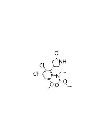 CCOC(=O)N(CC)c1c(OC)cc(Cl)c(Cl)c1C1CNC(=O)C1